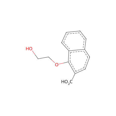 O=C(O)c1ccc2ccccc2c1OCCO